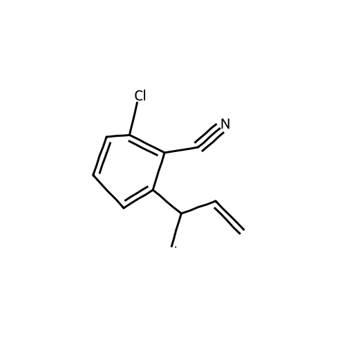 [CH2]C(C=C)c1cccc(Cl)c1C#N